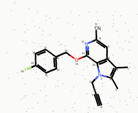 C#CCn1c(C)c(C)c2cc(C#N)nc(OCc3ccc(F)cc3)c21